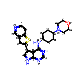 c1cc2sc(-c3c[nH]c4ncnc(N[C@H]5CC[C@H](N6CCOCC6)CC5)c34)cc2cn1